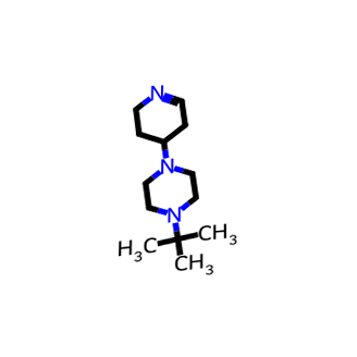 CC(C)(C)N1CCN(C2CC=NCC2)CC1